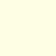 CC(Oc1ccc(-c2ncc(Br)cc2Br)cc1O)C(=O)O